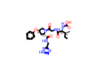 CC[C@H](C)[C@H](NC(=O)O)C(=O)NCC(=O)N1C[C@H](Oc2ccccc2)C[C@H]1C(=O)NCc1nn[nH]n1